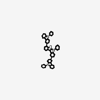 c1ccc(-n2c3ccccc3c3cc(-c4ccc5c(c4)c4c6cccc(-c7ccc8c(c7)c7ccccc7n8-c7ccccc7)c6oc4n5-c4ccccc4)ccc32)cc1